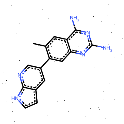 Cc1cc2c(N)nc(N)nc2cc1-c1cnc2[nH]ccc2c1